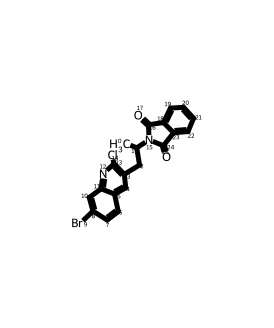 CC(Cc1cc2ccc(Br)cc2nc1Cl)N1C(=O)c2ccccc2C1=O